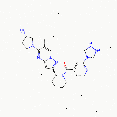 Cc1cn2nc([C@@H]3CCCCN3C(=O)c3ccnc(N4CNNC4)c3)cc2nc1N1CC[C@H](N)C1